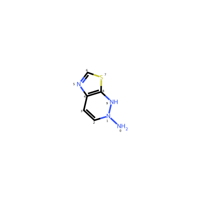 NN1C=Cc2ncsc2N1